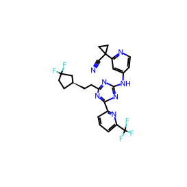 N#CC1(c2cc(Nc3nc(CC[C@H]4CCC(F)(F)C4)nc(-c4cccc(C(F)(F)F)n4)n3)ccn2)CC1